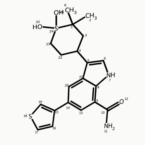 CC1(C)CC(c2c[nH]c3c(C(N)=O)cc(-c4ccsc4)cc23)CCS1(O)O